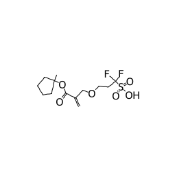 C=C(COCCC(F)(F)S(=O)(=O)O)C(=O)OC1(C)CCCC1